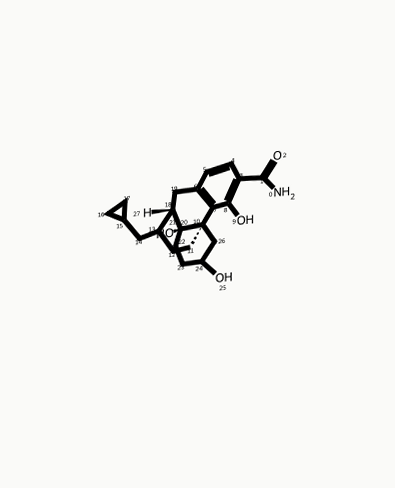 NC(=O)c1ccc2c(c1O)[C@]13CCC(CC4CC4)[C@H](C2)[C@]1(O)CCC(O)C3